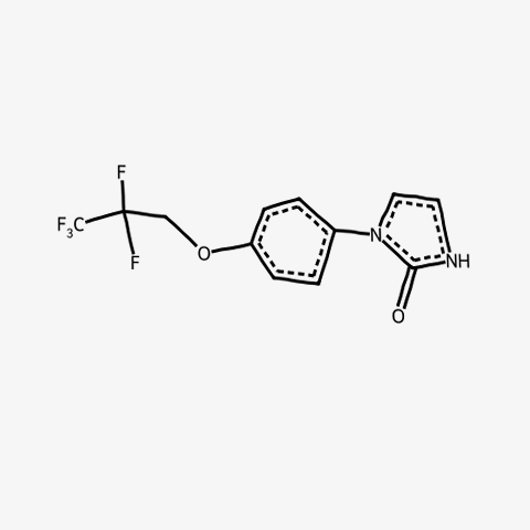 O=c1[nH]ccn1-c1ccc(OCC(F)(F)C(F)(F)F)cc1